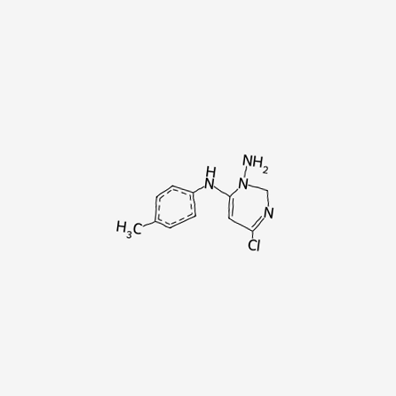 Cc1ccc(NC2=CC(Cl)=NCN2N)cc1